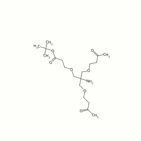 CC(=O)CCOCC(N)(COCCC(C)=O)COCCC(=O)OC(C)(C)C